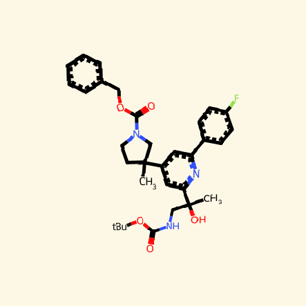 CC(C)(C)OC(=O)NCC(C)(O)c1cc(C2(C)CCN(C(=O)OCc3ccccc3)C2)cc(-c2ccc(F)cc2)n1